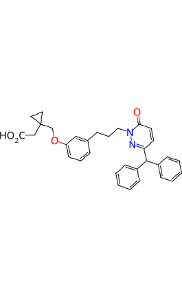 O=C(O)CC1(COc2cccc(CCCn3nc(C(c4ccccc4)c4ccccc4)ccc3=O)c2)CC1